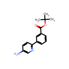 CC(C)(C)OC(=O)c1cccc(-c2ccc(N)cn2)c1